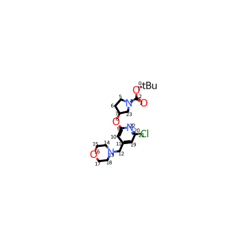 CC(C)(C)OC(=O)N1CCC(Oc2cc(CN3CCOCC3)cc(Cl)n2)C1